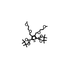 COCCOCc1c(B2OC(C)(C)C(C)(C)O2)sc(B2OC(C)(C)C(C)(C)O2)c1COCCOC